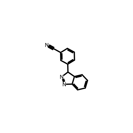 N#Cc1cccc(C2N=Nc3ccccc32)c1